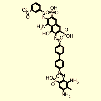 Cc1c(N)cc(S(=O)(=O)O)c(/N=N/c2ccc(-c3ccc(/N=N/c4c(S(=O)(=O)O)cc5cc(S(=O)(=O)O)c(/N=N/c6cccc([N+](=O)[O-])c6)c(N)c5c4O)cc3)cc2)c1N